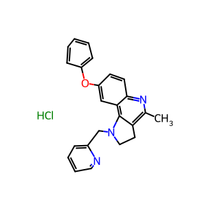 Cc1nc2ccc(Oc3ccccc3)cc2c2c1CCN2Cc1ccccn1.Cl